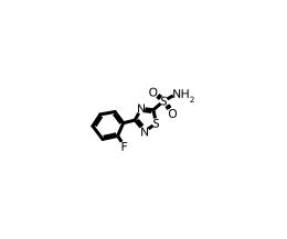 NS(=O)(=O)c1nc(-c2ccccc2F)ns1